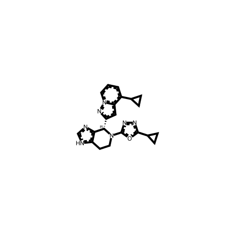 c1cc(C2CC2)c2cc([C@H]3c4nc[nH]c4CCN3c3nnc(C4CC4)o3)nn2c1